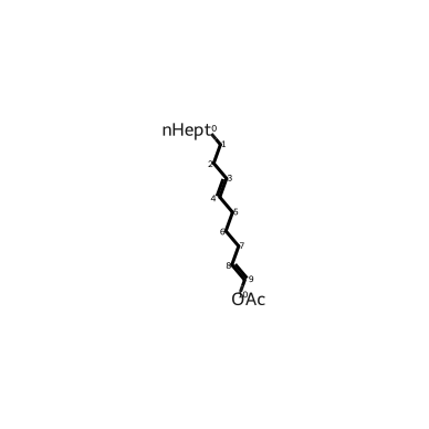 CCCCCCCCCC=CCCCC=COC(C)=O